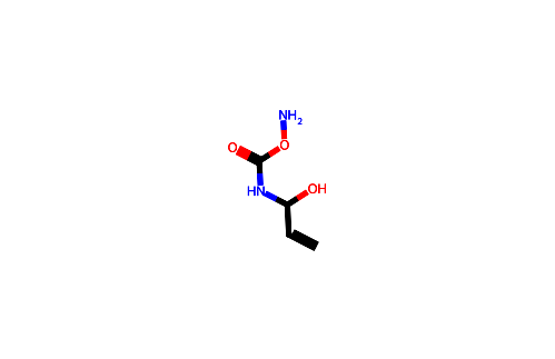 C=CC(O)NC(=O)ON